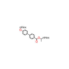 CCCCCCOc1ccc(-c2ccc(C(=O)OC(C)CCCCCC)cc2)cc1